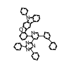 c1ccc(-c2cccc(-c3cnc(-c4cccc5oc6cc7c(cc6c45)c4ccccc4n7-c4ccccc4)c(-c4nc(-c5ccccc5)nc(-c5ccccc5)n4)c3)c2)cc1